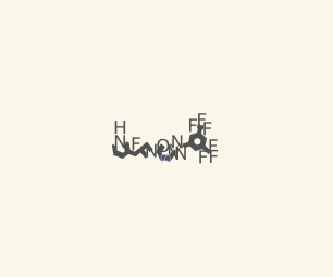 O=C(/C=C\n1cnc(-c2cc(C(F)(F)F)cc(C(F)(F)F)c2)n1)N1CC(F)(CC2=CNCC=C2)C1